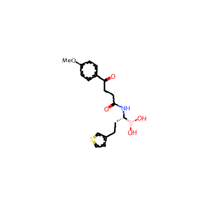 COc1ccc(C(=O)CCC(=O)N[C@@H](CCc2ccsc2)B(O)O)cc1